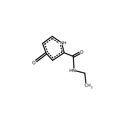 CCNC(=O)c1cc(=O)cc[nH]1